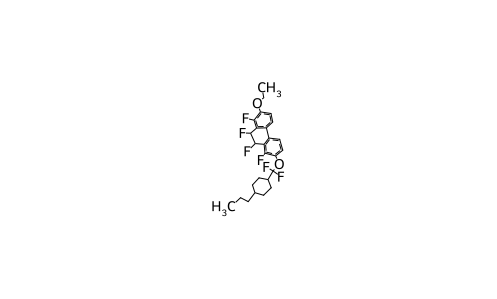 CCCC1CCC(C(F)(F)Oc2ccc3c(c2F)C(F)C(F)c2c-3ccc(OCC)c2F)CC1